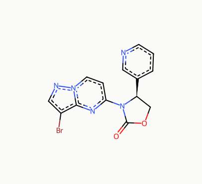 O=C1OC[C@H](c2cccnc2)N1c1ccn2ncc(Br)c2n1